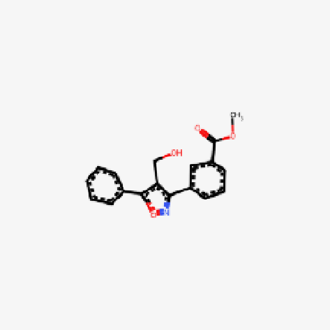 COC(=O)c1cccc(-c2noc(-c3ccccc3)c2CO)c1